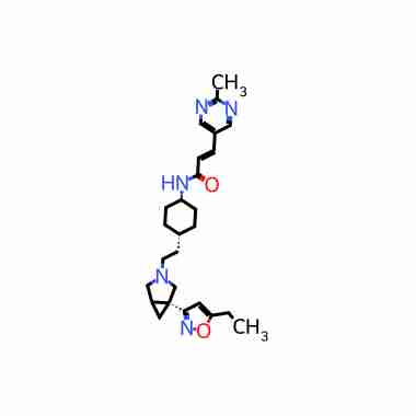 CCc1cc([C@]23CC2CN(CC[C@H]2CC[C@H](NC(=O)/C=C/c4cnc(C)nc4)CC2)C3)no1